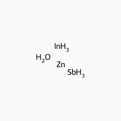 O.[InH3].[SbH3].[Zn]